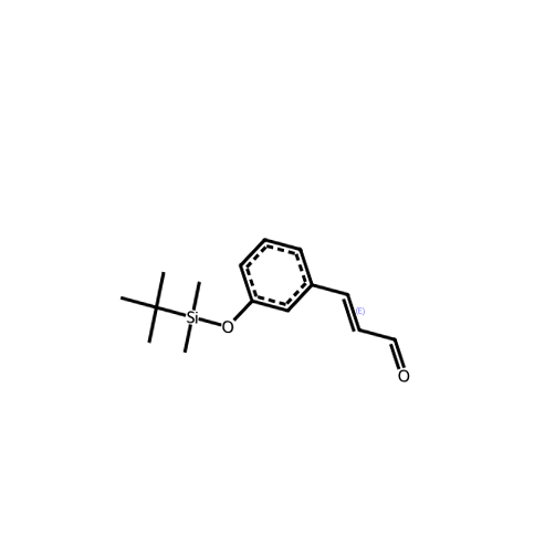 CC(C)(C)[Si](C)(C)Oc1cccc(/C=C/C=O)c1